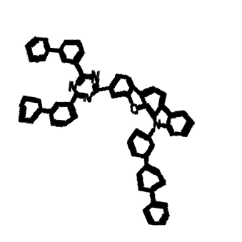 c1ccc(-c2ccc(-c3cccc(-n4c5ccccc5c5ccc6c7ccc(-c8nc(-c9cccc(-c%10ccccc%10)c9)nc(-c9cccc(-c%10ccccc%10)c9)n8)cc7oc6c54)c3)cc2)cc1